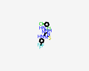 CSc1nc(Nc2ccc(C(F)(F)F)cc2)c2nc(Nc3c(Cl)cccc3Cl)[nH]c2n1